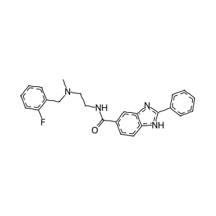 CN(CCNC(=O)c1ccc2[nH]c(-c3ccccc3)nc2c1)Cc1ccccc1F